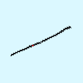 CCCCCCCCCCCCCCCCCCCCCCCCCCCCC[P]CCCCCCCCCCCCCCCCCCCCCCCCCCCCC